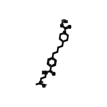 C[S+]([O-])CCNC(=O)c1ccc(CCCCC2CCN(C(=O)OC(C)(C)C)CC2)cc1